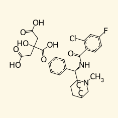 CN1CC2CCC1([C@H](NC(=O)c1ccc(F)cc1Cl)c1ccccc1)CC2.O=C(O)CC(O)(CC(=O)O)C(=O)O